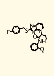 CCC(C(=O)Nc1ccccc1OC)n1cccc2nc(SCc3ccc(F)cc3)nc1-2